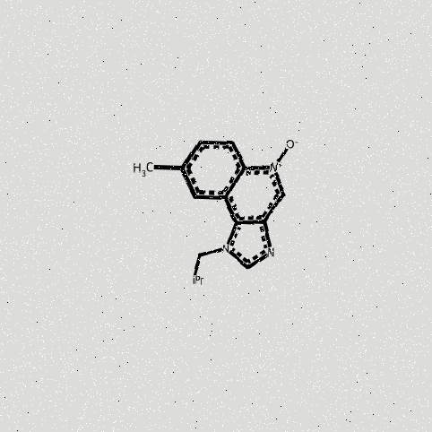 Cc1ccc2c(c1)c1c(c[n+]2[O-])ncn1CC(C)C